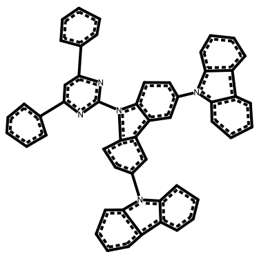 c1ccc(-c2cc(-c3ccccc3)nc(-n3c4ccc(-n5c6ccccc6c6ccccc65)cc4c4cc(-n5c6ccccc6c6ccccc65)ccc43)n2)cc1